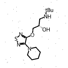 CC(C)(C)NC[C@H](O)COc1nsnc1N1CCCCC1